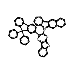 c1ccc(C2(c3ccccc3)c3ccccc3-c3ccc(-c4nc5c(nc4-n4c6ccccc6c6cc7ccccc7cc64)sc4ccccc45)cc32)cc1